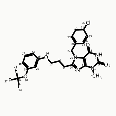 Cn1c(=O)[nH]c(=O)c2c1nc(CCCOc1cccc(OC(F)(F)F)c1)n2CC1=CCC(Cl)C=C1